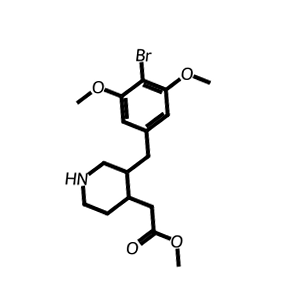 COC(=O)CC1CCNCC1Cc1cc(OC)c(Br)c(OC)c1